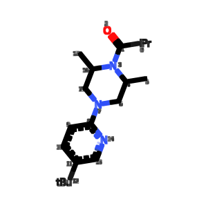 CC(C)C(=O)N1C(C)CN(c2ccc(C(C)(C)C)cn2)CC1C